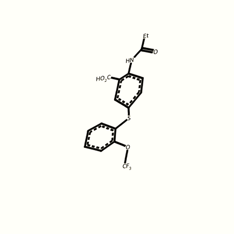 CCC(=O)Nc1ccc(Sc2ccccc2OC(F)(F)F)cc1C(=O)O